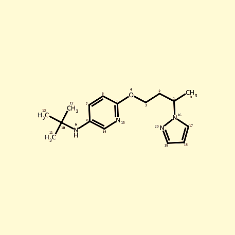 CC(CCOc1ccc(NC(C)(C)C)cn1)n1cccn1